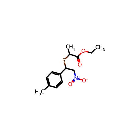 CCOC(=O)C(C)SC(C[N+](=O)[O-])c1ccc(C)cc1